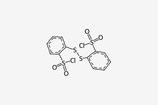 O=S(=O)(Cl)c1ccccc1SSc1ccccc1S(=O)(=O)Cl